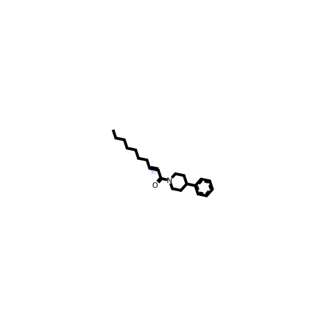 CCCCCCC/C=C/C(=O)N1CCC(c2ccccc2)CC1